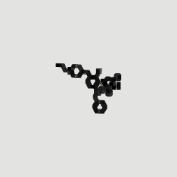 CCCN1CCC(=Cc2ccc(OCc3ccccc3)c(N3CC(=O)NS3(=O)=O)c2F)CC1